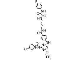 O=C(NCCCCNC(=O)c1ccc(Nc2nc(NC3(c4ccc(Cl)cc4)CC3)nc(OCC(F)(F)F)n2)cc1)C(=O)Nc1ccc(F)cc1